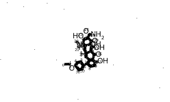 CCOc1ccc(-c2ccc(O)c3c2C[C@H]2C[C@@H]4[C@H](N(C)C)C(O)=C(C(N)=O)C(=O)[C@]4(O)C(O)=C2C3=O)cc1